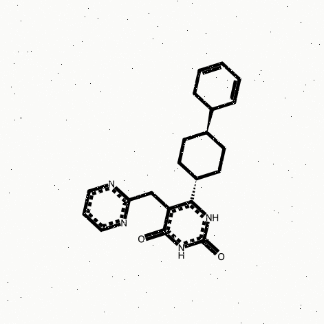 O=c1[nH]c(=O)c(Cc2ncccn2)c([C@H]2CC[C@H](C3C=CC=CC3)CC2)[nH]1